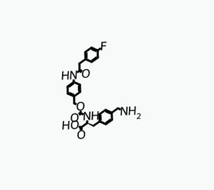 NCc1ccc(C[C@H](NC(=O)OCc2ccc(NC(=O)Cc3ccc(F)cc3)cc2)C(=O)O)cc1